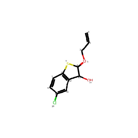 C=CCOC1Sc2ccc(Cl)cc2C1O